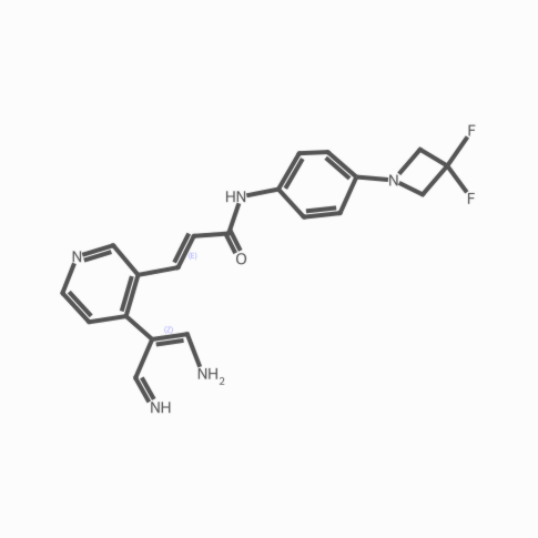 N=C/C(=C\N)c1ccncc1/C=C/C(=O)Nc1ccc(N2CC(F)(F)C2)cc1